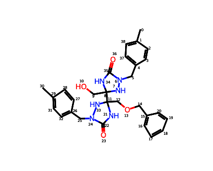 Cc1ccc(CN2NC(CO)(C3(COCc4ccccc4)NC(=O)N(Cc4ccc(C)cc4)N3)NC2=O)cc1